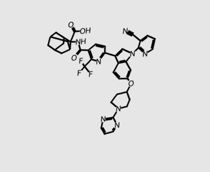 N#Cc1cccnc1-n1cc(-c2ccc(C(=O)NC3(C(=O)O)C4CC5CC(C4)CC3C5)c(C(F)(F)F)n2)c2ccc(OC3CCN(c4ncccn4)CC3)cc21